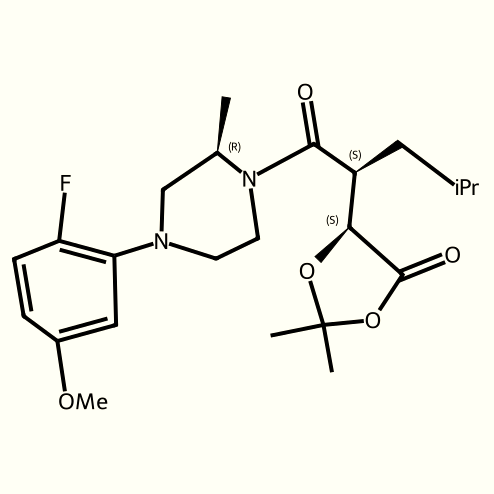 COc1ccc(F)c(N2CCN(C(=O)[C@@H](CC(C)C)[C@@H]3OC(C)(C)OC3=O)[C@H](C)C2)c1